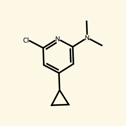 CN(C)c1cc(C2CC2)cc(Cl)n1